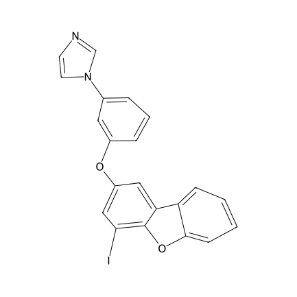 Ic1cc(Oc2cccc(-n3ccnc3)c2)cc2c1oc1ccccc12